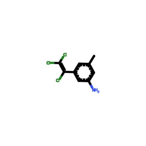 Cc1cc(N)cc(C(Cl)=C(Cl)Cl)c1